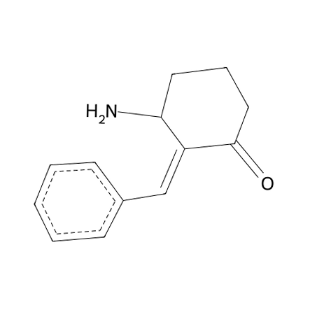 NC1CCCC(=O)C1=Cc1ccccc1